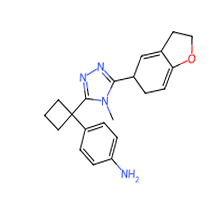 Cn1c(C2C=C3CCOC3=CC2)nnc1C1(c2ccc(N)cc2)CCC1